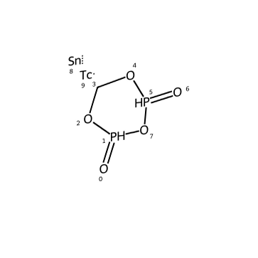 O=[PH]1OCO[PH](=O)O1.[Sn].[Tc]